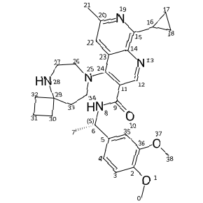 COc1ccc([C@H](C)NC(=O)c2cnc3c(C4CC4)nc(C)cc3c2N2CCNC3(CCC3)CC2)cc1OC